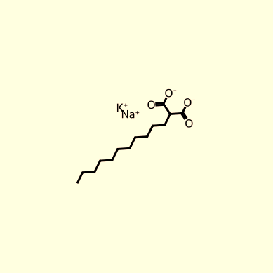 CCCCCCCCCCCC(C(=O)[O-])C(=O)[O-].[K+].[Na+]